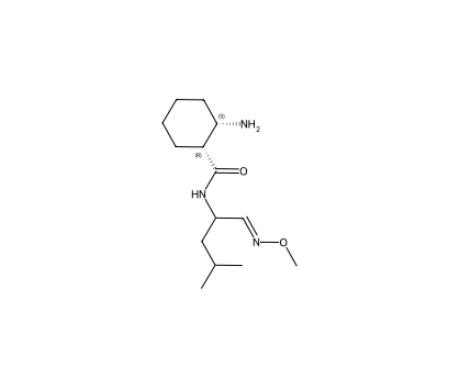 CON=CC(CC(C)C)NC(=O)[C@@H]1CCCC[C@@H]1N